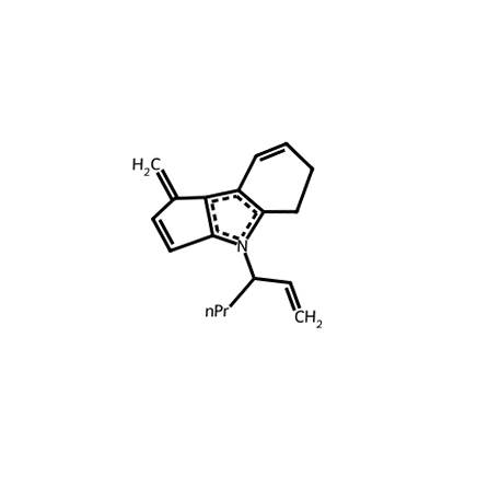 C=CC(CCC)n1c2c(c3c1CCC=C3)C(=C)C=C2